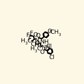 COc1ccc(C(NC(=O)C(C)NC(=O)c2cc(Cl)ccc2Cl)C(=O)NC(C(=O)C(F)(F)F)C(C)C)cc1